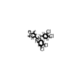 Cc1cc(-c2nc3cc(Cl)c(Cl)cc3n2Cc2ccc(Cl)c(Cl)c2)cn(C)c1=O